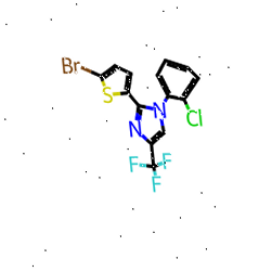 FC(F)(F)c1cn(-c2ccccc2Cl)c(-c2ccc(Br)s2)n1